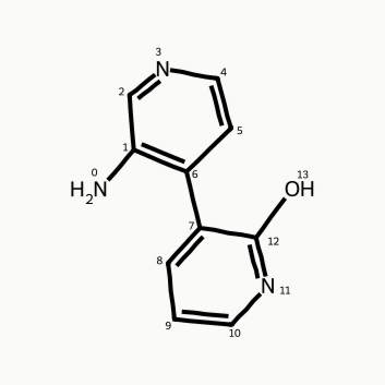 Nc1cnccc1-c1cccnc1O